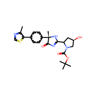 Cc1ncsc1-c1ccc([C@]2(C)NC(C3C[C@@H](O)CN3C(=O)OC(C)(C)C)=NC2=O)cc1